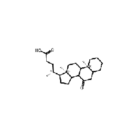 C[C@H](CCC(=O)O)C1CCC2C3C(=O)CC4CCCC[C@]4(C)C3CC[C@@]21C